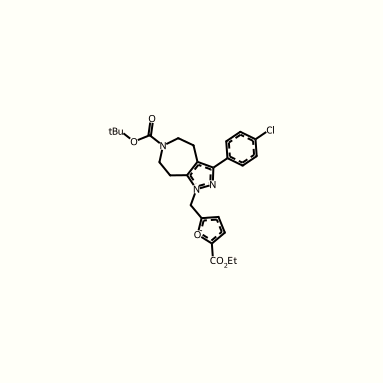 CCOC(=O)c1ccc(Cn2nc(-c3ccc(Cl)cc3)c3c2CCN(C(=O)OC(C)(C)C)CC3)o1